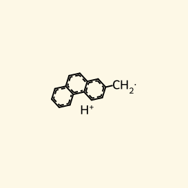 [CH2]c1ccc2c(ccc3ccccc32)c1.[H+]